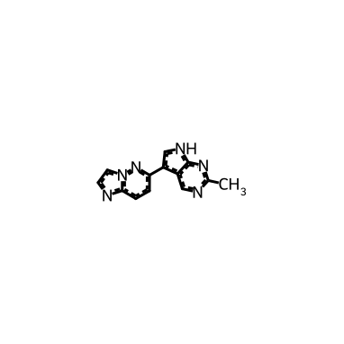 Cc1ncc2c(-c3ccc4nccn4n3)c[nH]c2n1